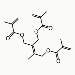 C=C(C)C(=O)OCC(C)=C(COC(=O)C(=C)C)COC(=O)C(=C)C